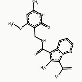 COc1cc(C)[nH]c(=O)c1CNC(=O)c1c(C)c(C(C)=O)n2ncccc12